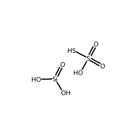 O=S(=O)(O)S.O=[Si](O)O